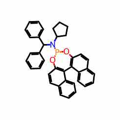 c1ccc(C(c2ccccc2)N(C2CCCC2)p2oc3ccc4ccccc4c3c3c(ccc4ccccc43)o2)cc1